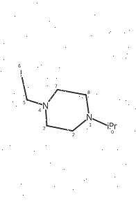 CC(C)N1CCN(CI)CC1